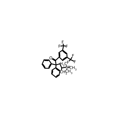 CC(CC(C(=O)c1cc(C(F)(F)F)cc(C(F)(F)F)c1)(c1ccccc1)c1ccccc1)[N+](C)(C)C